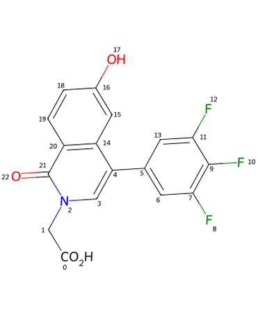 O=C(O)Cn1cc(-c2cc(F)c(F)c(F)c2)c2cc(O)ccc2c1=O